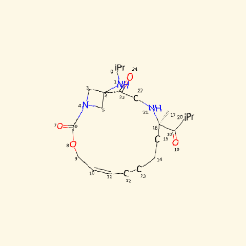 CC(C)NC12CN(C1)C(=O)OCC=CCCCC[C@](C)(C(=O)C(C)C)NCC2=O